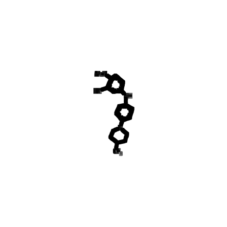 CNc1ccc(Nc2ccc(N3CCC(C(F)(F)F)CC3)cc2)cc1C#N